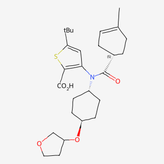 CC1=CC[C@@H](C(=O)N(c2cc(C(C)(C)C)sc2C(=O)O)[C@H]2CC[C@H](OC3CCOC3)CC2)CC1